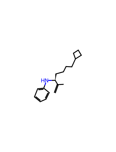 C=C(C)[C@H](CCCCC1CCC1)Nc1ccccc1